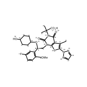 COc1ccc(F)cc1[C@H](Cn1c(=O)n(C(C)(C)C(=O)O)c(=O)c2c(C)c(-n3nccn3)sc21)OC1CCC(O)CC1